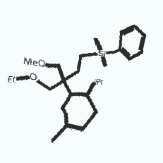 CCOCC(CC[Si](C)(C)c1ccccc1)(COC)C1CC(C)CCC1C(C)C